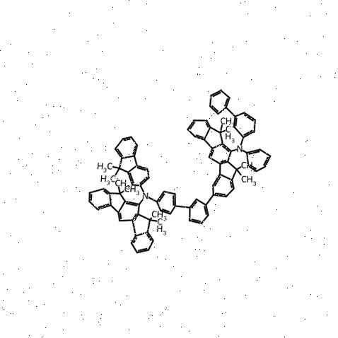 CC1(C)c2ccccc2-c2ccc(N(c3ccc(-c4cccc(-c5ccc6c(c5)-c5cc7c(c(N(c8ccccc8)c8cccc(-c9ccccc9)c8)c5C6(C)C)C(C)(C)c5ccccc5-7)c4)cc3)c3c4c(cc5c3C(C)(C)c3ccccc3-5)-c3ccccc3C4(C)C)cc21